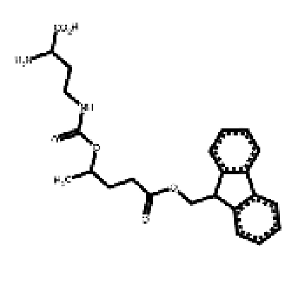 CC(CCC(=O)OCC1c2ccccc2-c2ccccc21)OC(=O)NCCC(N)C(=O)O